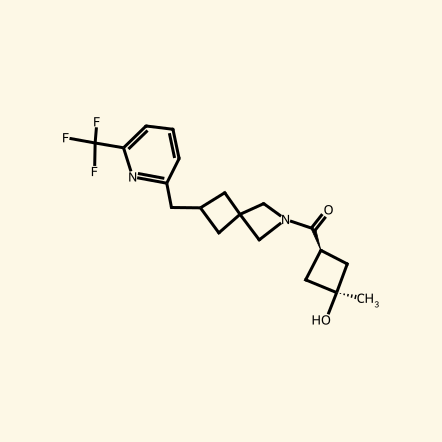 C[C@]1(O)C[C@@H](C(=O)N2CC3(CC(Cc4cccc(C(F)(F)F)n4)C3)C2)C1